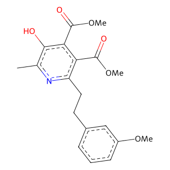 COC(=O)c1c(CCc2cccc(OC)c2)nc(C)c(O)c1C(=O)OC